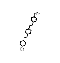 CCCc1ccc(CCC2=CCC(CC[C@H]3CC[C@H](CC)CC3)CC2)cc1